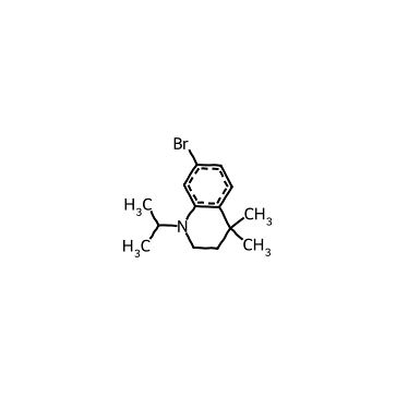 CC(C)N1CCC(C)(C)c2ccc(Br)cc21